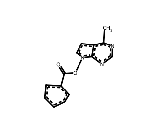 Cc1ncnc2c1ccn2OC(=O)c1ccccc1